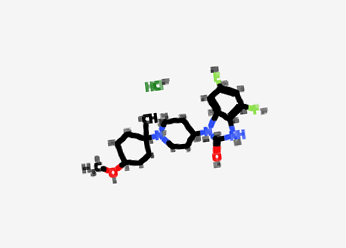 COC1CCC(C)(N2CCC(n3c(=O)[nH]c4c(F)cc(F)cc43)CC2)CC1.Cl